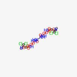 O=C(NCCCCNC(=O)NCCOCCOCCNS(=O)(=O)c1ccc(O[C@H]2c3cc(Cl)cc(Cl)c3C[C@@H]2N2CCCCC2)cc1)NCCOCCOCCNS(=O)(=O)c1ccc(O[C@H]2c3cc(Cl)cc(Cl)c3CC2N2CCCCC2)cc1